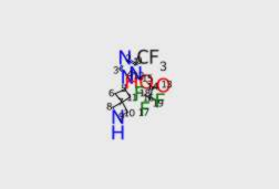 FC(F)(F)c1ncn(C2CC3(CNC3)C2)n1.O=C(O)C(F)(F)F